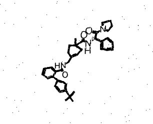 CC1(C(=O)N[C@H](C(=O)N2CCCC2)c2ccccc2)CC=C(CNC(=O)c2ccccc2-c2ccc(C(C)(C)C)cc2)CC1